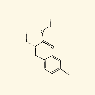 CCOC(=O)[C@@H](CC)Cc1ccc(F)cc1